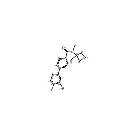 CN(C(=O)c1ccc(-c2ccc(F)c(F)c2)cn1)C1(C)COC1